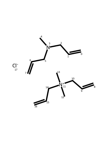 C=CCN(C)CC=C.C=CC[N+](C)(C)CC=C.[Cl-]